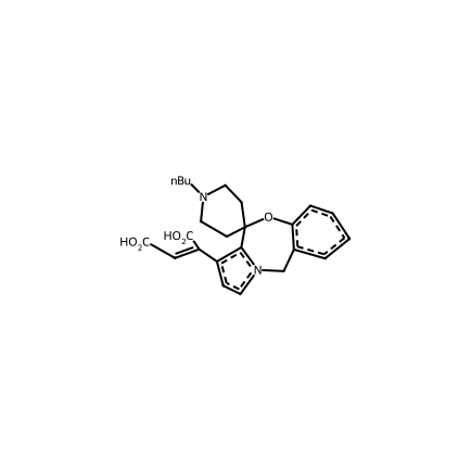 CCCCN1CCC2(CC1)Oc1ccccc1Cn1ccc(C(=CC(=O)O)C(=O)O)c12